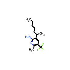 CCCCCC(C)c1cc(C(F)(F)F)c(C)nc1N